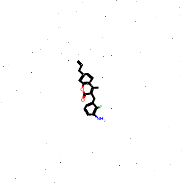 C=CCc1ccc2c(C)c(Cc3cccc(N)c3F)c(=O)oc2c1